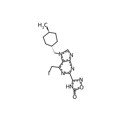 C[C@H]1CC[C@H](Cn2cnc3nc(-c4noc(=O)[nH]4)nc(CI)c32)CC1